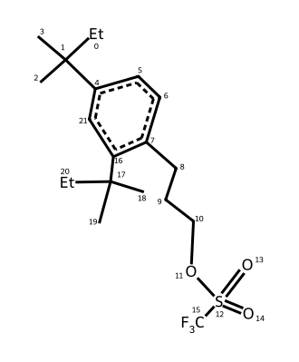 CCC(C)(C)c1ccc(CCCOS(=O)(=O)C(F)(F)F)c(C(C)(C)CC)c1